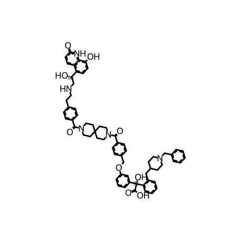 O=C(c1ccc(CCNC[C@H](O)c2ccc(O)c3[nH]c(=O)ccc23)cc1)N1CCC2(CC1)CCN(C(=O)c1ccc(COc3cccc([C@@](O)(C(=O)O)c4ccccc4CC4CCN(Cc5ccccc5)CC4)c3)cc1)CC2